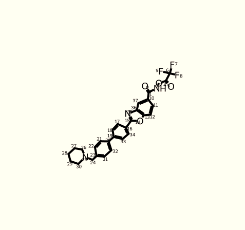 O=C(NOC(=O)C(F)(F)F)c1ccc2oc(-c3ccc(-c4ccc(CN5CCCCC5)cc4)cc3)nc2c1